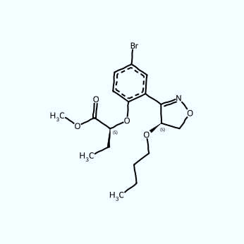 CCCCO[C@@H]1CON=C1c1cc(Br)ccc1O[C@@H](CC)C(=O)OC